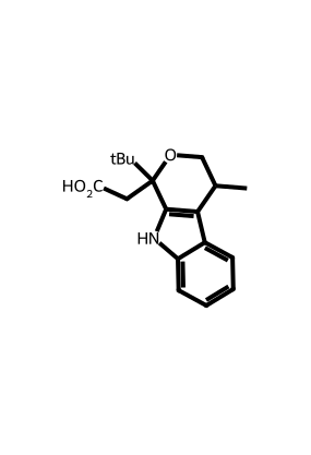 CC1COC(CC(=O)O)(C(C)(C)C)c2[nH]c3ccccc3c21